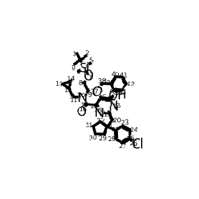 CC(C)(C)[Si](C)(C)OCCN(CC1CC1)C(=O)c1nc(CC2(c3ccc(Cl)cc3)CCCC2)nc(O)c1OCc1ccccc1